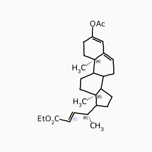 CCOC(=O)/C=C/[C@@H](C)C1CCC2C3CC=C4C=C(OC(C)=O)CC[C@]4(C)C3CC[C@@]21C